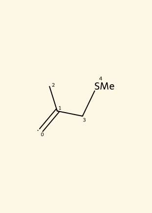 [CH]=C(C)CSC